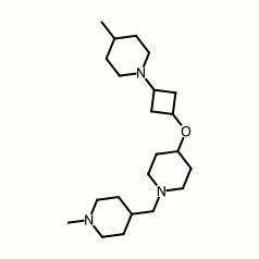 CC1CCN(C2CC(OC3CCN(CC4CCN(C)CC4)CC3)C2)CC1